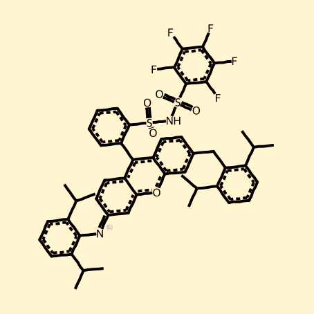 CC(C)c1cccc(C(C)C)c1Cc1ccc2c(-c3ccccc3S(=O)(=O)NS(=O)(=O)c3c(F)c(F)c(F)c(F)c3F)c3cc/c(=N\c4c(C(C)C)cccc4C(C)C)cc-3oc2c1